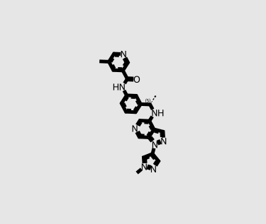 Cc1cncc(C(=O)Nc2cccc([C@H](C)Nc3cncc4c3cnn4-c3cnn(C)c3)c2)c1